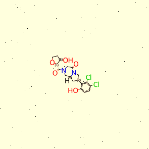 O=C([C@@H]1OCC[C@@H]1O)N1CC(=O)N2C[C@@H](c3c(O)ccc(Cl)c3Cl)C[C@H]2C1